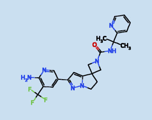 CC(C)(NC(=O)N1CC2(CCn3nc(-c4cnc(N)c(C(F)(F)F)c4)cc32)C1)c1ccccn1